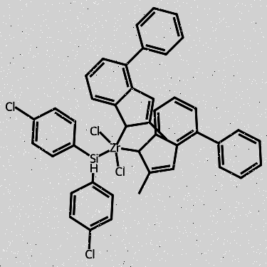 CC1=Cc2c(-c3ccccc3)cccc2[CH]1[Zr]([Cl])([Cl])([CH]1C(C)=Cc2c(-c3ccccc3)cccc21)[SiH](c1ccc(Cl)cc1)c1ccc(Cl)cc1